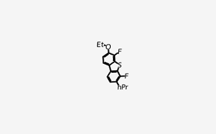 CCCc1ccc2c(sc3c(F)c(OCC)ccc32)c1F